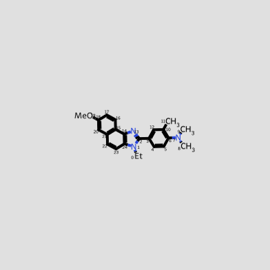 CCn1c(-c2ccc(N(C)C)c(C)c2)nc2c3ccc(OC)cc3ccc21